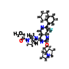 C=CC(=O)N1CC[C@@H]2[C@H]1CN2c1nc(OCC23CCCN2CCC3)nc2c(F)c(-c3cccc4c3CCCC4)ncc12